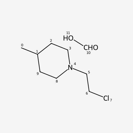 CC1CCN(CCCl)CC1.O=CO